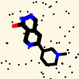 CN1CCCC(c2cc3cn[nH]c(=O)c3cn2)C1